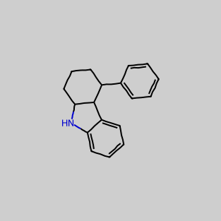 c1ccc(C2CCCC3Nc4ccccc4C32)cc1